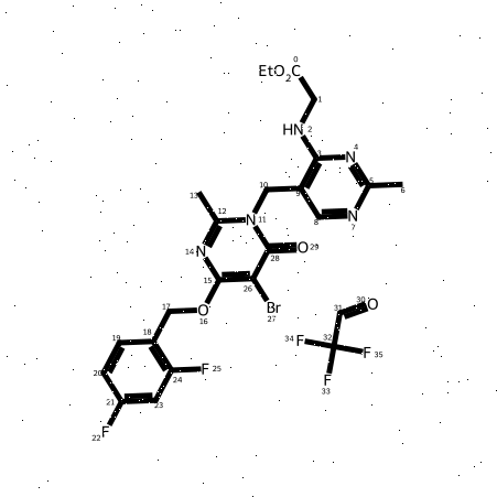 CCOC(=O)CNc1nc(C)ncc1Cn1c(C)nc(OCc2ccc(F)cc2F)c(Br)c1=O.O=CC(F)(F)F